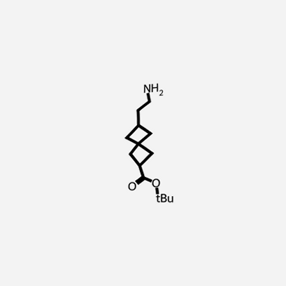 CC(C)(C)OC(=O)C1CC2(CC(CCN)C2)C1